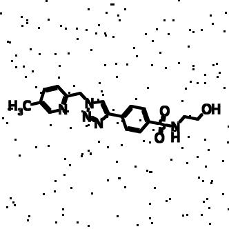 Cc1ccc(Cn2cc(-c3ccc(S(=O)(=O)NCCO)cc3)nn2)nc1